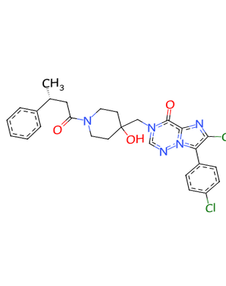 C[C@H](CC(=O)N1CCC(O)(Cn2cnn3c(-c4ccc(Cl)cc4)c(Cl)nc3c2=O)CC1)c1ccccc1